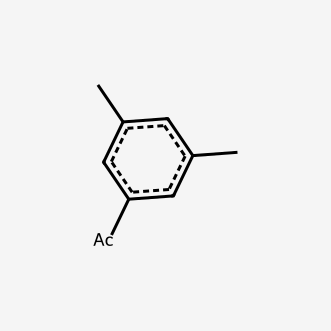 [CH2]C(=O)c1cc(C)cc(C)c1